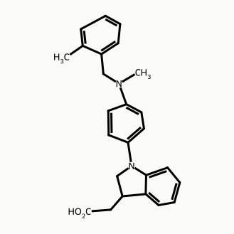 Cc1ccccc1CN(C)c1ccc(N2CC(CC(=O)O)c3ccccc32)cc1